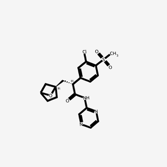 CS(=O)(=O)c1ccc([C@@H](C[C@]23CCC(C2)O3)C(=O)Nc2cnccn2)cc1Cl